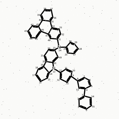 c1ccc(-c2cccc(-c3ccc(-n4c5ccccc5c5ccc(N(c6ccccc6)c6ccc7c8ccccc8c8ccccc8c7c6)cc54)cc3)c2)cc1